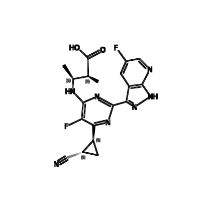 C[C@H](Nc1nc(-c2n[nH]c3ncc(F)cc23)nc([C@H]2C[C@@H]2C#N)c1F)[C@H](C)C(=O)O